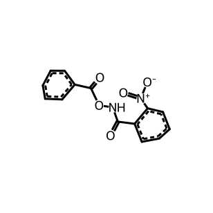 O=C(ONC(=O)c1ccccc1[N+](=O)[O-])c1ccccc1